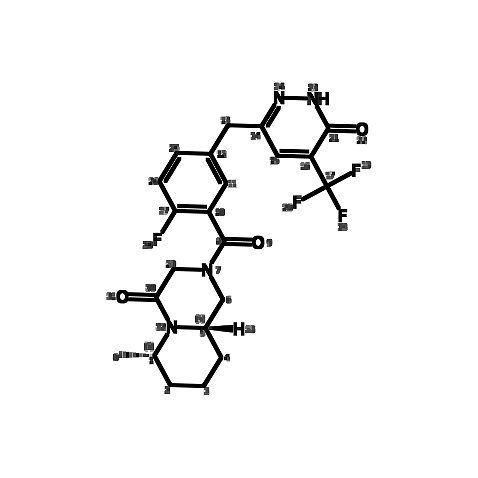 C[C@H]1CCC[C@H]2CN(C(=O)c3cc(Cc4cc(C(F)(F)F)c(=O)[nH]n4)ccc3F)CC(=O)N21